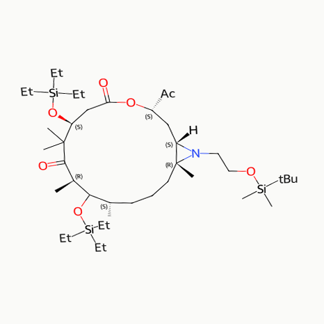 CC[Si](CC)(CC)OC1[C@@H](C)CCC[C@]2(C)[C@H](C[C@@H](C(C)=O)OC(=O)C[C@H](O[Si](CC)(CC)CC)C(C)(C)C(=O)[C@@H]1C)N2CCO[Si](C)(C)C(C)(C)C